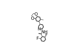 C=C(Nc1ccc(-c2cc3c(cc2C)OCCO3)cn1)c1c(F)cccc1F